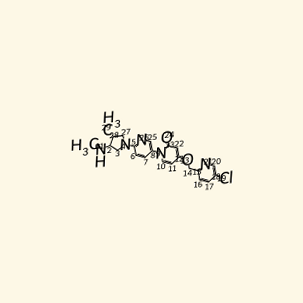 CNC1CN(c2ccc(-n3ccc(OCc4ccc(Cl)cn4)cc3=O)cn2)CC1C